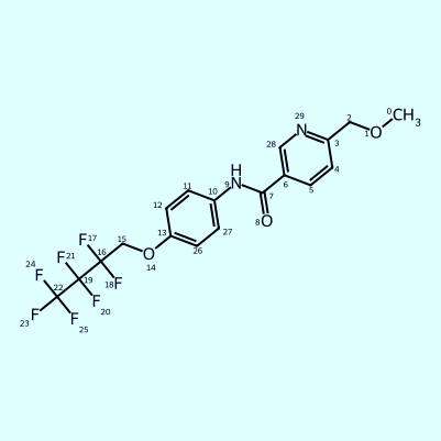 COCc1ccc(C(=O)Nc2ccc(OCC(F)(F)C(F)(F)C(F)(F)F)cc2)cn1